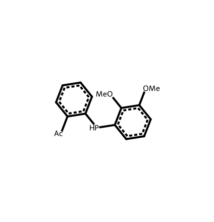 COc1cccc(Pc2ccccc2C(C)=O)c1OC